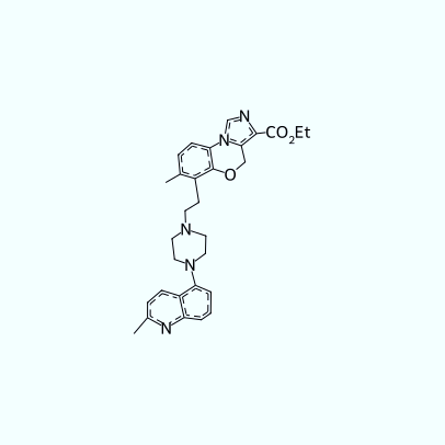 CCOC(=O)c1ncn2c1COc1c-2ccc(C)c1CCN1CCN(c2cccc3nc(C)ccc23)CC1